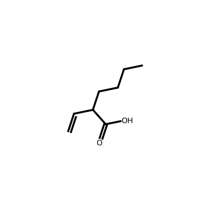 C=CC(CCCC)C(=O)O